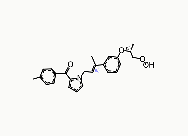 C/C(=C\Cn1cccc1C(=O)c1ccc(C)cc1)c1cccc(O[C@@H](C)COO)c1